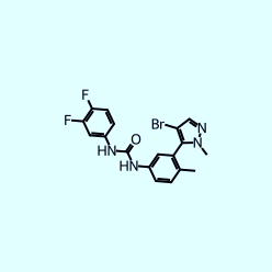 Cc1ccc(NC(=O)Nc2ccc(F)c(F)c2)cc1-c1c(Br)cnn1C